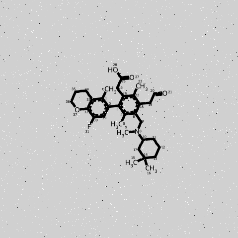 Cc1c(-c2c(C)c(CN(C)C3CCCC(C)(C)C3)c(CC=O)c(C)c2CC(=O)O)cc(F)c2c1CCCO2